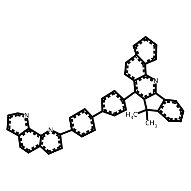 CC1(C)c2ccccc2-c2nc3c(ccc4ccccc43)c(-c3ccc(-c4ccc(-c5ccc6ccc7cccnc7c6n5)cc4)cc3)c21